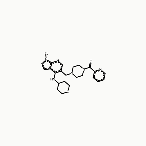 CCn1ncc2c(NC3CCOCC3)c(CN3CCN(C(=O)c4ccccn4)CC3)cnc21